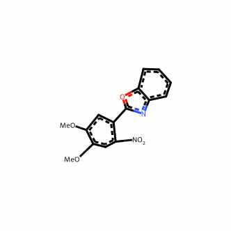 COc1cc(-c2nc3ccccc3o2)c([N+](=O)[O-])cc1OC